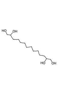 OCC(O)CCCCCCCCCCC(O)CO